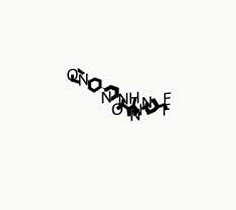 Cc1c(C(=O)Nc2ccc([C@H]3CC[C@H](N4CCOCC4)CC3)nc2)cnn1-c1ccc(C(F)F)cn1